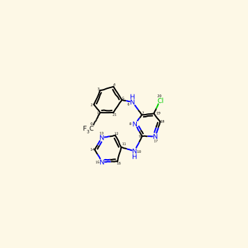 FC(F)(F)c1cccc(Nc2nc(Nc3cncnc3)ncc2Cl)c1